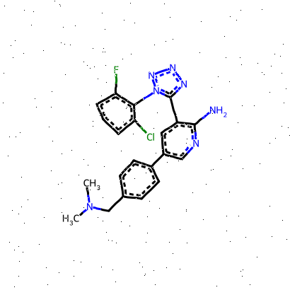 CN(C)Cc1ccc(-c2cnc(N)c(-c3nnnn3-c3c(F)cccc3Cl)c2)cc1